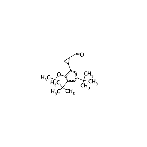 CCOc1c(C2CC2C=O)cc(C(C)(C)C)cc1C(C)(C)C